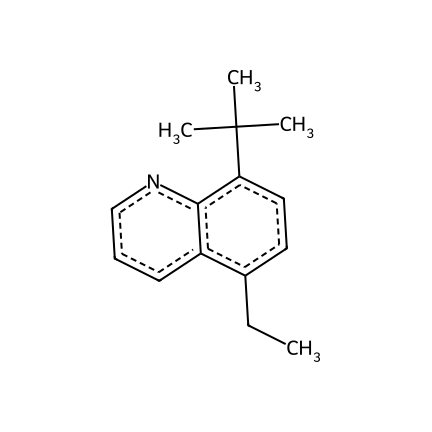 CCc1ccc(C(C)(C)C)c2ncccc12